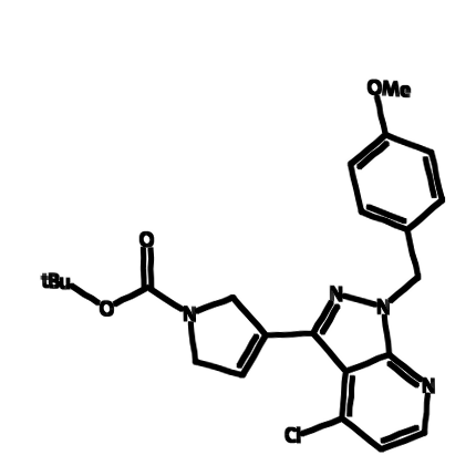 COc1ccc(Cn2nc(C3=CCN(C(=O)OC(C)(C)C)C3)c3c(Cl)ccnc32)cc1